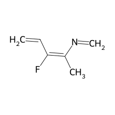 C=C/C(F)=C(/C)N=C